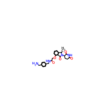 C=C1c2cccc(OCC(=O)NCc3ccc(CN)cc3)c2C(=O)N1C1CCC(=O)NC1=O